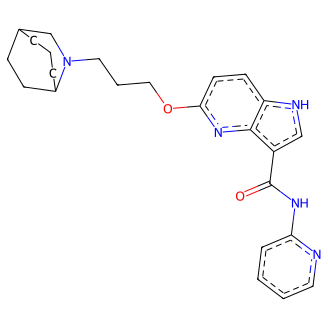 O=C(Nc1ccccn1)c1c[nH]c2ccc(OCCCN3CC4CCCC3CC4)nc12